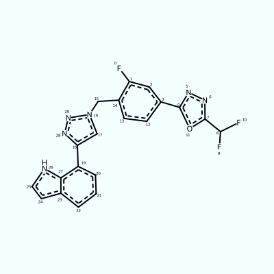 Fc1cc(-c2nnc(C(F)F)o2)ccc1Cn1cc(-c2cccc3cc[nH]c23)nn1